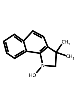 CC1(C)CN(O)c2c1ccc1ccccc21